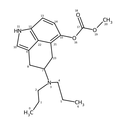 CCCN(CCC)C1Cc2c[nH]c3ccc(OC(=O)OC)c(c23)C1